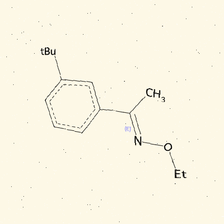 CCO/N=C(\C)c1cccc(C(C)(C)C)c1